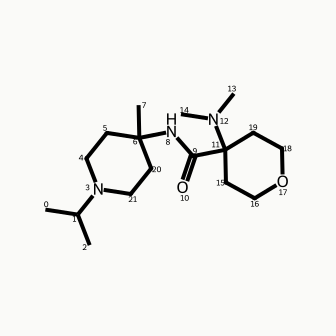 CC(C)N1CCC(C)(NC(=O)C2(N(C)C)CCOCC2)CC1